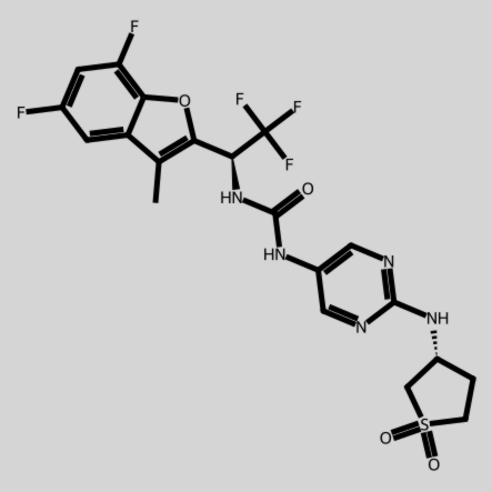 Cc1c([C@H](NC(=O)Nc2cnc(N[C@@H]3CCS(=O)(=O)C3)nc2)C(F)(F)F)oc2c(F)cc(F)cc12